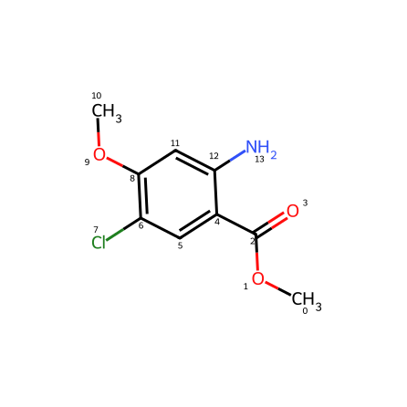 COC(=O)c1cc(Cl)c(OC)cc1N